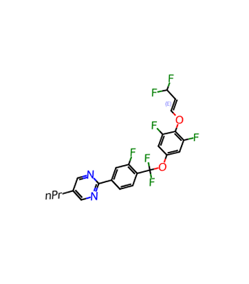 CCCc1cnc(-c2ccc(C(F)(F)Oc3cc(F)c(O/C=C/C(F)F)c(F)c3)c(F)c2)nc1